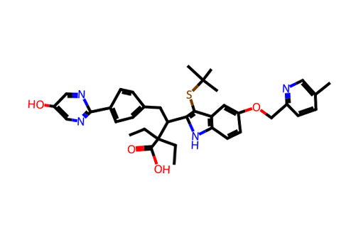 CCC(CC)(C(=O)O)C(Cc1ccc(-c2ncc(O)cn2)cc1)c1[nH]c2ccc(OCc3ccc(C)cn3)cc2c1SC(C)(C)C